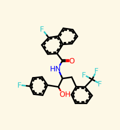 O=C(NC(Cc1ccccc1C(F)(F)F)C(O)c1ccc(F)cc1)c1ccc(F)c2ccccc12